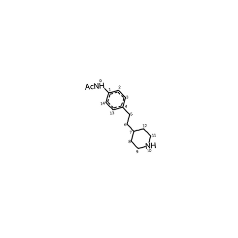 CC(=O)Nc1ccc(CCC2CCNCC2)cc1